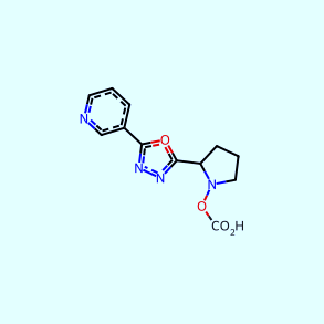 O=C(O)ON1CCCC1c1nnc(-c2cccnc2)o1